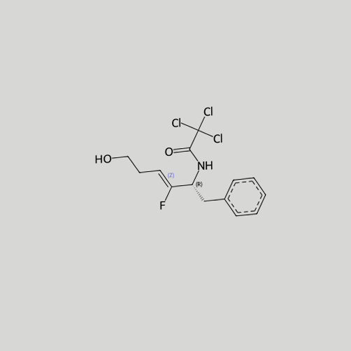 O=C(N[C@H](Cc1ccccc1)/C(F)=C/CCO)C(Cl)(Cl)Cl